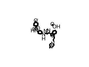 COc1ccc(S(=O)(=O)Nc2ccc(Nc3cc(-c4cn(CCCN5CCN(C)CC5)c5ccccc45)ncn3)cc2)cc1.O=CO